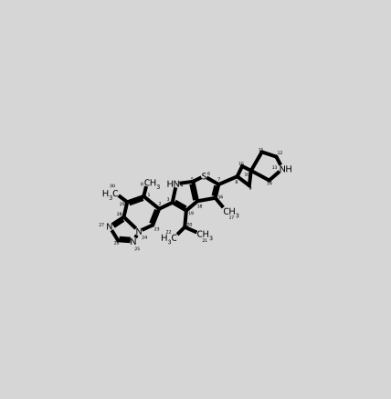 Cc1c(-c2[nH]c3sc(C4CC5(CCNC5)C4)c(C)c3c2C(C)C)cn2ncnc2c1C